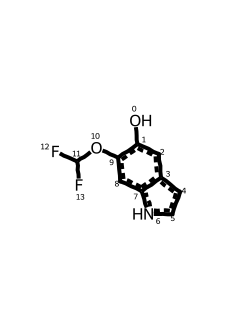 Oc1cc2cc[nH]c2cc1OC(F)F